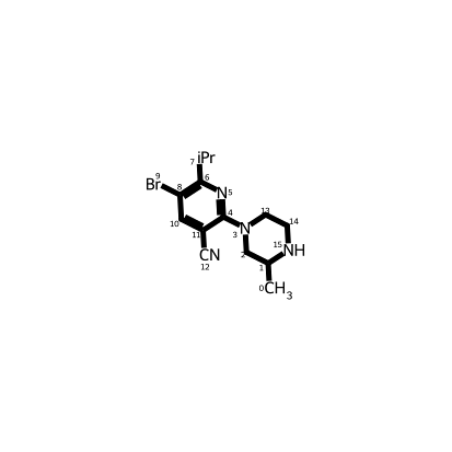 CC1CN(c2nc(C(C)C)c(Br)cc2C#N)CCN1